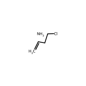 C=CCCCl.N